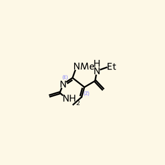 C=C(N)/N=C(NC)\C(=C/C)C(=C)NCC